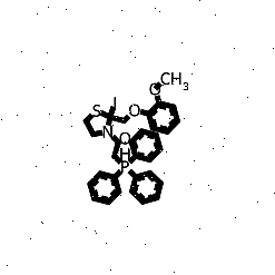 COc1ccccc1OCC1(I)SCCN1C(=O)C[PH](c1ccccc1)(c1ccccc1)c1ccccc1